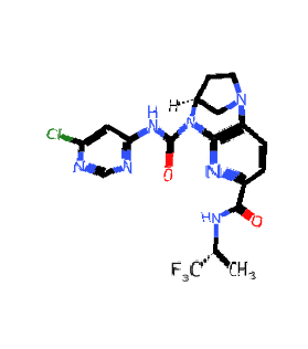 C[C@@H](NC(=O)c1ccc2c(n1)N(C(=O)Nc1cc(Cl)ncn1)[C@H]1CCN2C1)C(F)(F)F